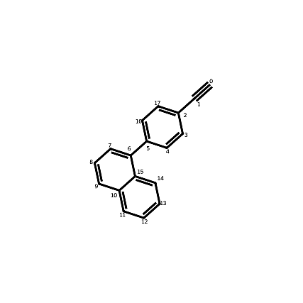 C#Cc1ccc(-c2cccc3ccccc23)cc1